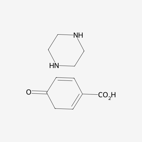 C1CNCCN1.O=C1C=CC(C(=O)O)=CC1